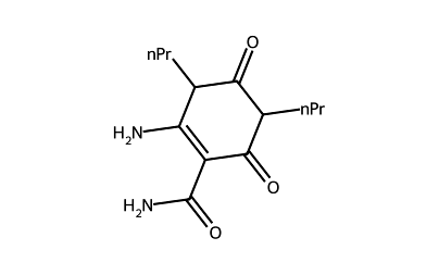 CCCC1C(=O)C(C(N)=O)=C(N)C(CCC)C1=O